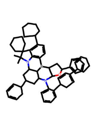 CC1(C)N2c3c(ccc(C4CCCCC4)c3C13CCCCC3)B1C3CC(c4ccccc4)OC3N(c3ccccc3C3C=CC(C4C=CCCC4)=CC3)C3CC(C4C=CC=CC4)CC2C13